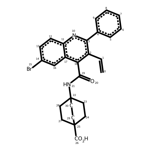 C=Cc1c(-c2ccccc2)nc2ccc(Br)cc2c1C(=O)NC12CCC(C(=O)O)(CC1)CC2